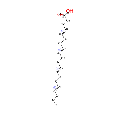 CCC/C=C/CC/C=C/CC/C=C/CC/C=C/CCC(=O)O